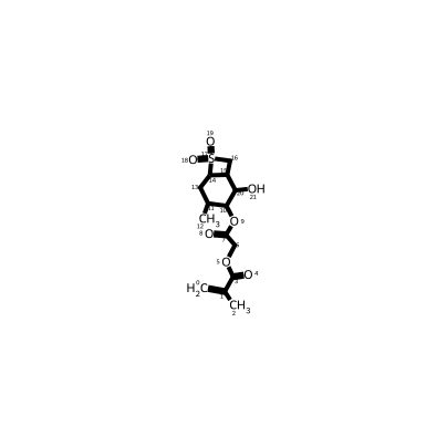 C=C(C)C(=O)OCC(=O)OC1C(C)CC2C(CS2(=O)=O)C1O